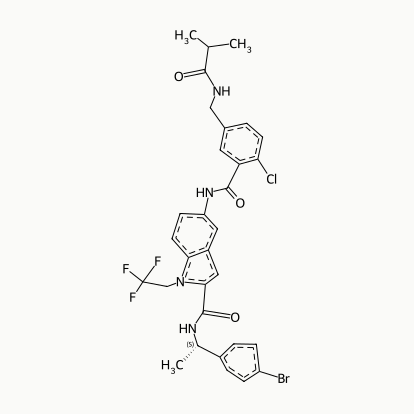 CC(C)C(=O)NCc1ccc(Cl)c(C(=O)Nc2ccc3c(c2)cc(C(=O)N[C@@H](C)c2ccc(Br)cc2)n3CC(F)(F)F)c1